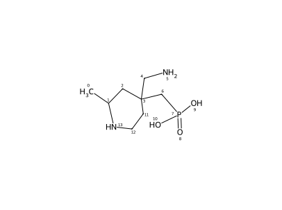 CC1CC(CN)(CP(=O)(O)O)CCN1